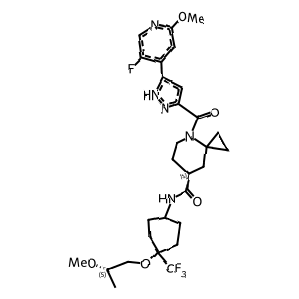 COc1cc(-c2cc(C(=O)N3CC[C@H](C(=O)NC4CCC(OC[C@H](C)OC)(C(F)(F)F)CC4)CC34CC4)n[nH]2)c(F)cn1